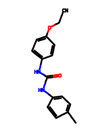 Cc1ccc(NC(=O)Nc2ccc(OCC#N)cc2)cc1